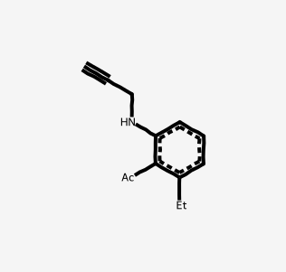 C#CCNc1cccc(CC)c1C(C)=O